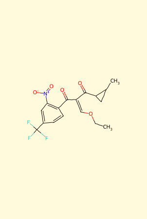 CCOC=C(C(=O)c1ccc(C(F)(F)F)cc1[N+](=O)[O-])C(=O)C1CC1C